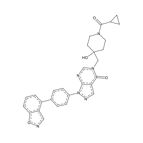 O=C(C1CC1)N1CCC(O)(Cn2cnc3c(cnn3-c3ccc(-c4cccc5oncc45)cc3)c2=O)CC1